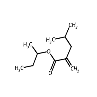 C=C(CC(C)C)C(=O)OC(C)CC